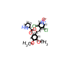 COc1ccc([C@H](Cc2c(Cl)c[n+]([O-])cc2Cl)OC(=O)[C@@H]2CCCN2)cc1OC